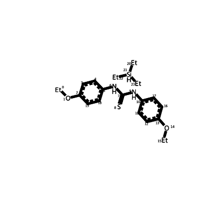 CCOc1ccc(NC(=S)Nc2ccc(OCC)cc2)cc1.CC[SiH](CC)CC